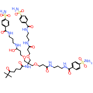 CC(C)(C)C(=O)CCCC(=O)NC(COCCC(=O)NCCCNC(=O)c1ccc(S(N)(=O)=O)cc1)(COCCC(=O)NCCCNC(=O)c1ccc(S(N)(=O)=O)cc1)COCCC(O)NCCCNC(=O)c1ccc(S(N)(=O)=O)cc1